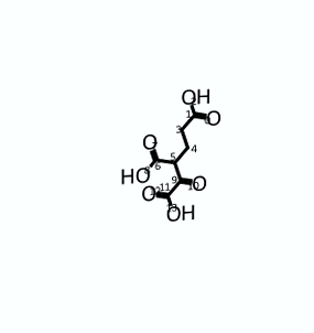 O=C(O)CCC(C(=O)O)C(=O)C(=O)O